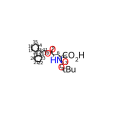 CC(C)(C)OC(=O)N[C@@H](CCC(=O)OCC1c2ccccc2-c2ccccc21)C(=O)O